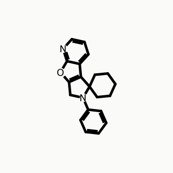 c1ccc(N2Cc3oc4ncccc4c3C23CCCCC3)cc1